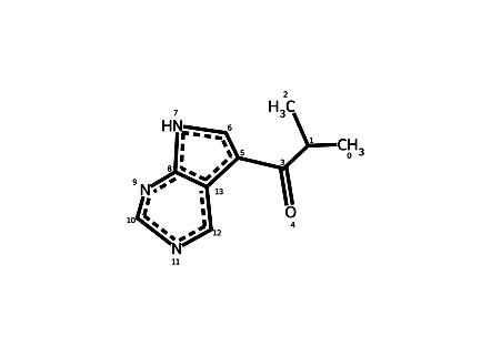 CC(C)C(=O)c1c[nH]c2ncncc12